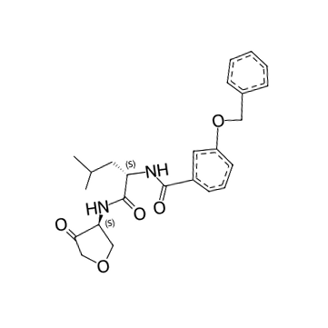 CC(C)C[C@H](NC(=O)c1cccc(OCc2ccccc2)c1)C(=O)N[C@H]1COCC1=O